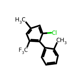 Cc1cc(Cl)c(-c2ccccc2C)c(C(F)(F)F)c1